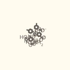 Cc1cc(NN)c([N+](=O)[O-])c2nnn(O)c12.Cc1ccc(N2c3c(cc([N+](=O)[O-])cc3[N+](=O)[O-])N(O)N2c2ccc(C)cc2)cc1